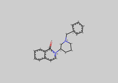 O=c1c2ccccc2ccn1C1CCCN(Cc2ccccc2)C1